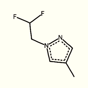 Cc1cnn(CC(F)F)c1